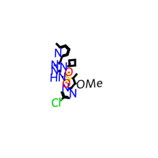 COC(c1ncc(Cl)cn1)C(C)S(=O)(=O)Nc1nnc(-c2cccc(C)n2)n1C1(C)CCC1